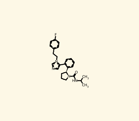 CC(C)NC(=O)N1CCC[C@H]1c1ccccc1-c1cncn1CCc1ccc(F)cc1